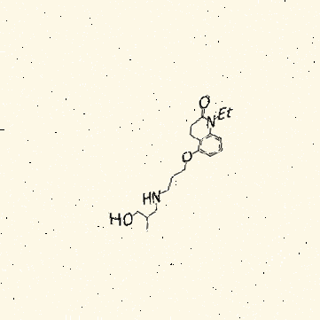 CCN1C(=O)CCc2c(OCCCNCC(C)CO)cccc21